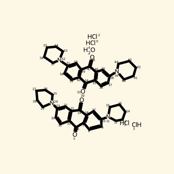 Cl.Cl.Cl.Cl.O.O=C1c2ccc(N3CCCCC3)cc2C(=O)c2cc(N3CCCCC3)ccc21.O=C1c2ccc(N3CCCCC3)cc2C(=O)c2cc(N3CCCCC3)ccc21